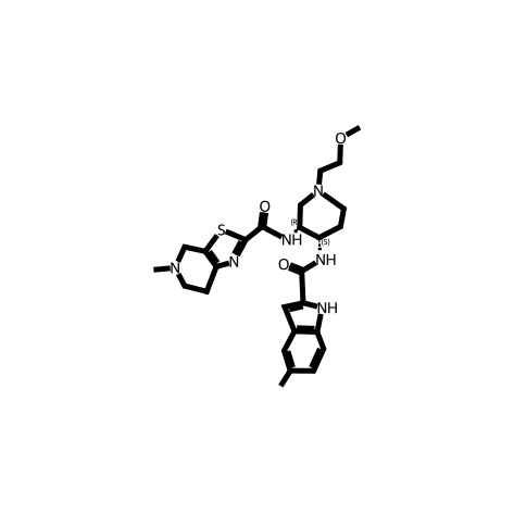 COCCN1CC[C@H](NC(=O)c2cc3cc(C)ccc3[nH]2)[C@H](NC(=O)c2nc3c(s2)CN(C)CC3)C1